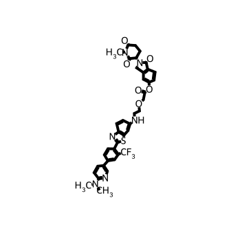 CN1C(=O)CCC(N2Cc3cc(OC(=O)COCCNc4ccc5nc(-c6ccc(-c7ccc(N(C)C)nc7)cc6C(F)(F)F)sc5c4)ccc3C2=O)C1=O